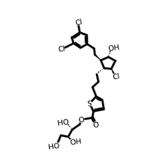 O=C(OC[C@@H](O)[C@@H](O)CO)c1ccc(CCC[C@@H]2[C@@H](CCc3cc(Cl)cc(Cl)c3)[C@H](O)C[C@H]2Cl)s1